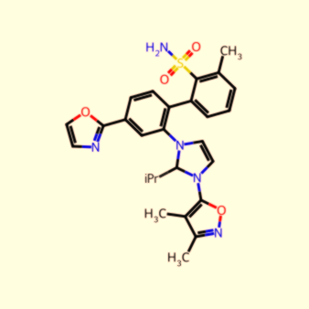 Cc1cccc(-c2ccc(-c3ncco3)cc2N2C=CN(c3onc(C)c3C)C2C(C)C)c1S(N)(=O)=O